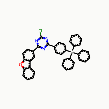 Clc1nc(-c2ccc([Si](c3ccccc3)(c3ccccc3)c3ccccc3)cc2)nc(-c2ccc3oc4ccccc4c3c2)n1